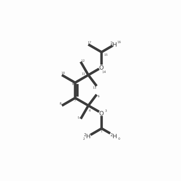 [2H]C([2H])OC(C)(C)/C(C)=C(/C)C(C)(C)OC([2H])C